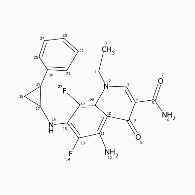 CCn1cc(C(N)=O)c(=O)c2c(N)c(F)c(NC3CC3c3ccccc3)c(F)c21